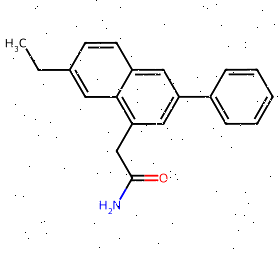 CCc1ccc2cc(-c3ccccc3)cc(CC(N)=O)c2c1